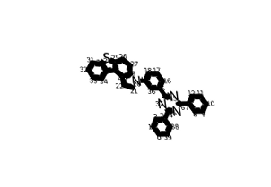 c1ccc(-c2nc(-c3ccccc3)nc(-c3cccc(-n4ccc5c6c(ccc54)sc4ccccc46)c3)n2)cc1